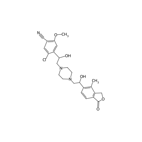 COc1cc(C(O)CN2CCN(CC(O)c3ccc4c(c3C)COC4=O)CC2)c(Cl)cc1C#N